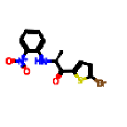 C[C@H](Nc1ccccc1[N+](=O)[O-])C(=O)c1ccc(Br)s1